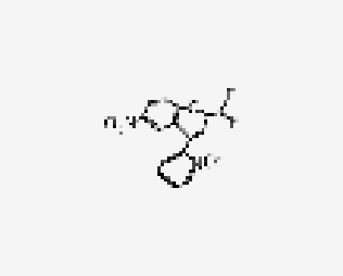 O=[N+]([O-])c1ccc2c(c1)C(c1cccc[n+]1[O-])=CC(C(F)F)O2